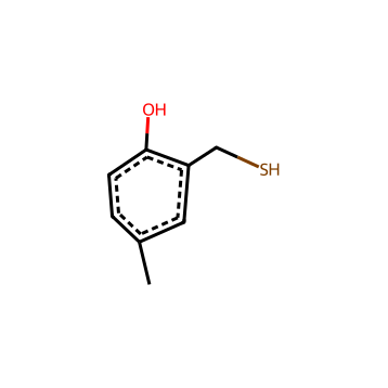 Cc1ccc(O)c(CS)c1